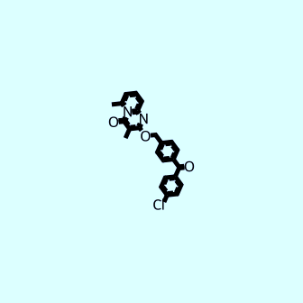 Cc1c(OCc2ccc(C(=O)c3ccc(Cl)cc3)cc2)nc2cccc(C)n2c1=O